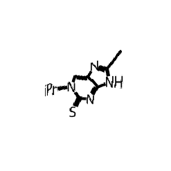 Cc1nc2cn(C(C)C)c(=S)nc2[nH]1